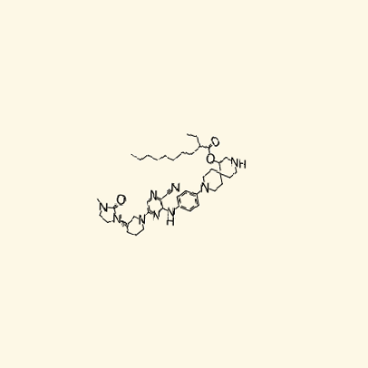 CCCCCCCCC(CC)C(=O)OC1CNCCC12CCN(c1ccc(Nc3nc(N4CCC[C@@H](N5CCN(C)C5=O)C4)cnc3C#N)cc1)CC2